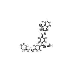 Cc1cccc2nc(SCc3ccc(C(=O)c4ccc(OCCN5CCCCC5)cc4)cc3)n(C)c(=O)c12.Cl